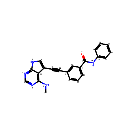 CNc1ncnc2[nH]cc(C#Cc3cccc(C(=O)Nc4ccccc4)c3)c12